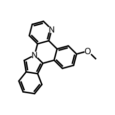 COc1ccc2c(c1)c1ncccc1n1cc3ccccc3c21